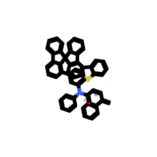 C=C(/C=C\C(=C/C)N(c1ccccc1)c1cccc(-c2cccc3c2C2(c4ccccc4-3)c3ccccc3-c3c2ccc2sc4ccccc4c32)c1)c1ccccc1